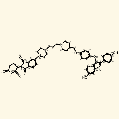 O=C1CCC(N2C(=O)c3ccc(N4CCN(CCCN5CCC(COc6ccc(Oc7c(-c8ccc(O)cc8)sc8cc(O)ccc78)cc6)CC5)CC4)cc3C2=O)C(=O)N1